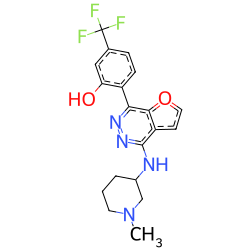 CN1CCCC(Nc2nnc(-c3ccc(C(F)(F)F)cc3O)c3occc23)C1